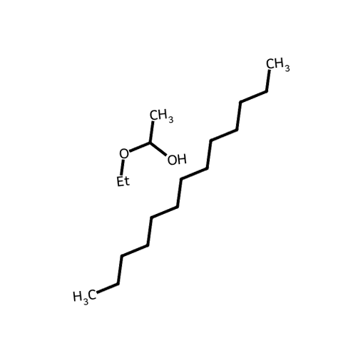 CCCCCCCCCCCCC.CCOC(C)O